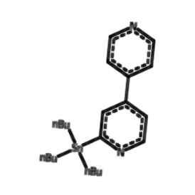 CCC[CH2][Sn]([CH2]CCC)([CH2]CCC)[c]1cc(-c2ccncc2)ccn1